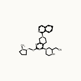 CN1CCC[C@H]1COc1nc2c(c(N3CCNC(CC#N)C3)n1)CCN(c1nccc3ccccc13)C2